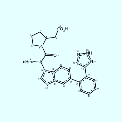 CCCCCCC(C(=O)N1CCCC1CC(=O)O)n1cnc2cc(-c3ccccc3-c3nn[nH]n3)ccc21